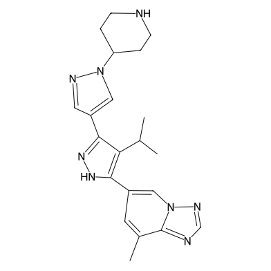 Cc1cc(-c2[nH]nc(-c3cnn(C4CCNCC4)c3)c2C(C)C)cn2ncnc12